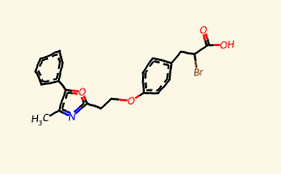 Cc1nc(CCOc2ccc(CC(Br)C(=O)O)cc2)oc1-c1ccccc1